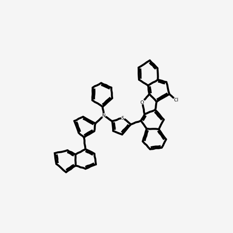 Clc1cc2ccccc2c2oc3c(-c4ccc(N(c5ccccc5)c5cccc(-c6cccc7ccccc67)c5)s4)c4ccccc4cc3c12